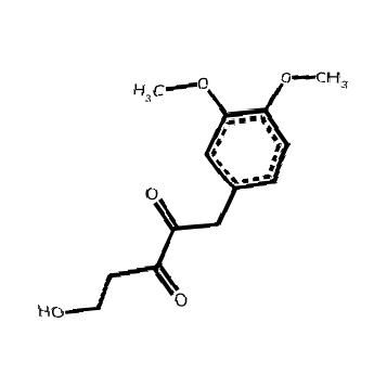 COc1ccc(CC(=O)C(=O)CCO)cc1OC